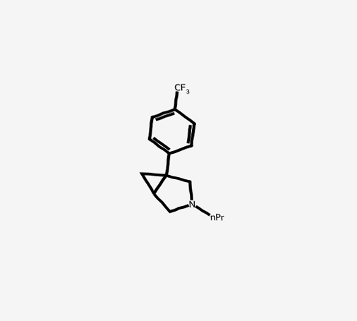 CCCN1CC2CC2(c2ccc(C(F)(F)F)cc2)C1